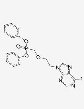 Nc1ncnc2c1ncn2CCOCP(=O)(Oc1ccccc1)Oc1ccccc1